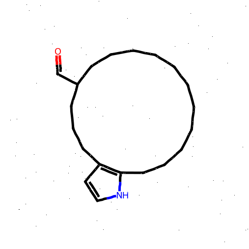 O=CC1CCCCCCCCCCCc2[nH]ccc2CCC1